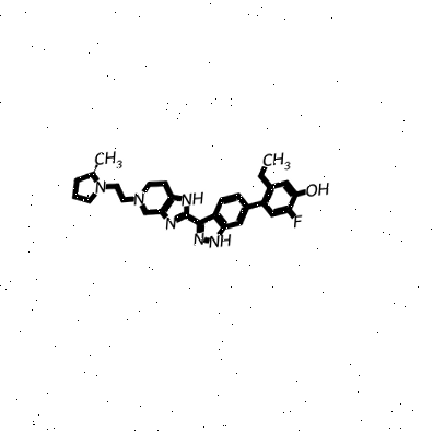 CCc1cc(O)c(F)cc1-c1ccc2c(-c3nc4c([nH]3)CCN(CCN3CCC[C@@H]3C)C4)n[nH]c2c1